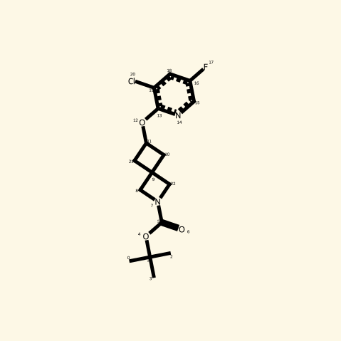 CC(C)(C)OC(=O)N1CC2(CC(Oc3ncc(F)cc3Cl)C2)C1